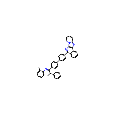 Cc1ccccc1/N=C(/c1ccc(-c2ccc(-c3nc4c(nc5ccccn54)c4ccccc34)cc2)cc1)C(C)c1ccccc1